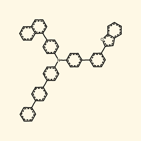 c1ccc(-c2ccc(-c3ccc(N(c4ccc(-c5cccc(-c6cc7ccccc7o6)c5)cc4)c4ccc(-c5cccc6ccccc56)cc4)cc3)cc2)cc1